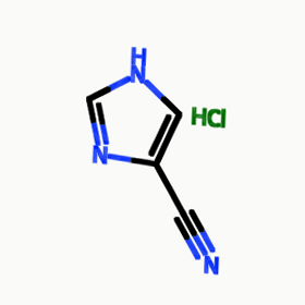 Cl.N#Cc1c[nH]cn1